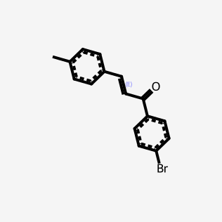 Cc1ccc(/C=C/C(=O)c2ccc(Br)cc2)cc1